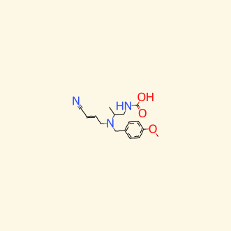 COc1ccc(CN(CC=CC#N)C(C)CNC(=O)O)cc1